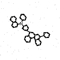 c1ccc(-c2cc3cc(-c4ccc(N(c5ccccc5)c5cccc6ccccc56)cc4)c4ccccc4c3c3ccccc23)cc1